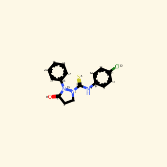 O=C1CCN(C(=S)Nc2ccc(Cl)cc2)N1c1ccccc1